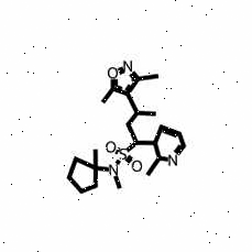 Cc1noc(C)c1C(C)CC(C1C=CC=NC1C)S(=O)(=O)N(C)C1(C)CCCC1